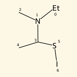 CCN(C)C(C)SI